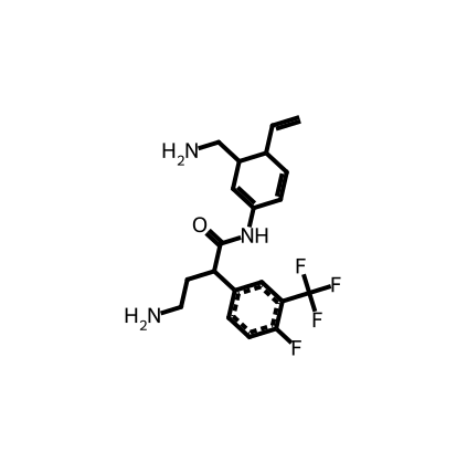 C=CC1C=CC(NC(=O)C(CCN)c2ccc(F)c(C(F)(F)F)c2)=CC1CN